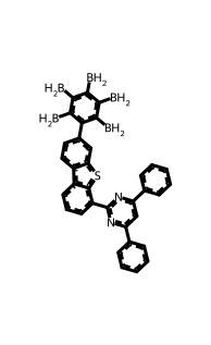 Bc1c(B)c(B)c(-c2ccc3c(c2)sc2c(-c4nc(-c5ccccc5)cc(-c5ccccc5)n4)cccc23)c(B)c1B